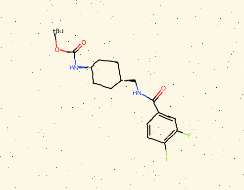 CC(C)(C)OC(=O)N[C@H]1CC[C@@H](CNC(=O)c2ccc(F)c(F)c2)CC1